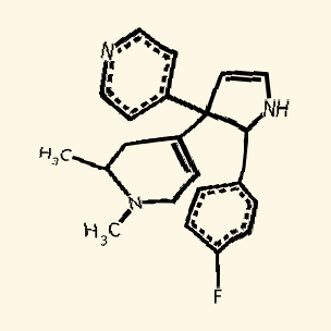 CC1CC(C2(c3ccncc3)C=CNC2c2ccc(F)cc2)=CCN1C